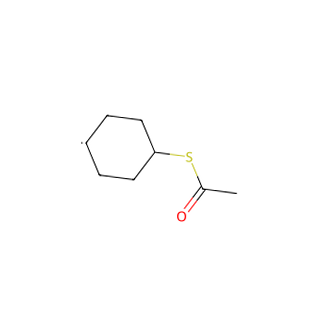 CC(=O)SC1CC[CH]CC1